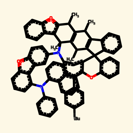 CC1C2=C3C(C)C4=C1C(C)c1oc5ccccc5c1C4(C)N(c1ccc4oc5cccc(N(c6ccccc6)c6cccc7ccccc67)c5c4c1)c1cc(-c4ccc(C(C)(C)C)cc4)c4c(c1)C3(c1ccccc1O4)c1ccccc12